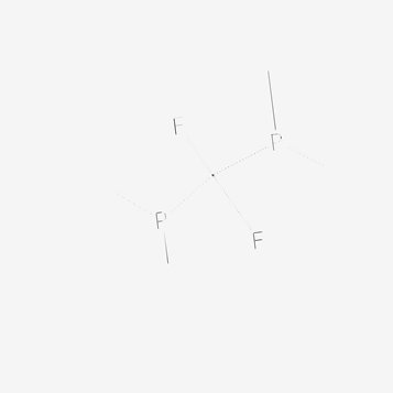 CP(C)C(F)(F)P(C)C